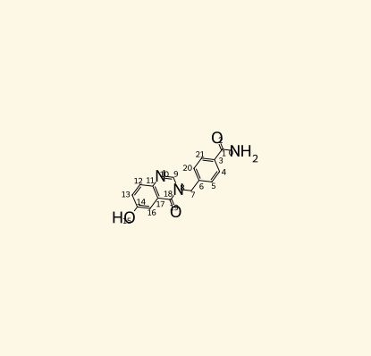 NC(=O)c1ccc(Cn2cnc3ccc(O)cc3c2=O)cc1